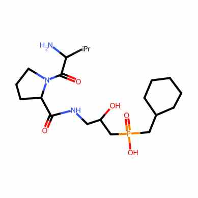 CC(C)C(N)C(=O)N1CCCC1C(=O)NCC(O)CP(=O)(O)CC1CCCCC1